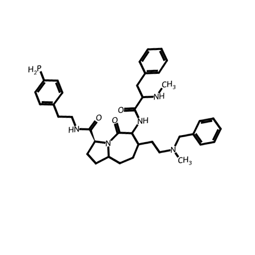 CNC(Cc1ccccc1)C(=O)NC1C(=O)N2C(CCC1CCN(C)Cc1ccccc1)CC[C@H]2C(=O)NCCc1ccc(P)cc1